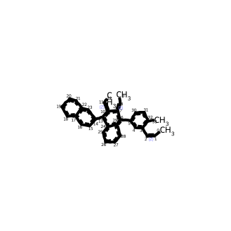 C/C=C\c1cc(-c2c(=C/C)/c(=C\C)c(-c3ccc4ccccc4c3)c3ccccc23)ccc1C